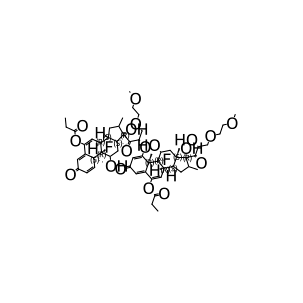 CCC(=O)OC1=C[C@H]2[C@@H]3CC(C)[C@](O)(C(=O)C(O)COCCOC)[C@@]3(C)CC(O)[C@]2(F)[C@@]2(C)C(OC(COCCOC)C(=O)[C@@]3(O)C(C)C[C@H]4[C@@H]5C=C(OC(=O)CC)C6=CC(=O)C=C[C@]6(C)[C@@]5(F)C(O)C[C@@]43C)=CC(=O)C=C12